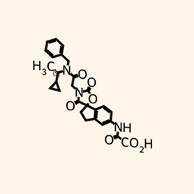 C[C@@H](C1CC1)N(Cc1ccccc1)C(=O)CN1C(=O)OC2(CCc3cc(NC(=O)C(=O)O)ccc32)C1=O